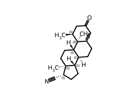 C[C@H]1CC(=O)C=C2CC[C@H]3[C@@H]4CC[C@H](C#N)[C@@]4(C)CC[C@@H]3[C@]21C